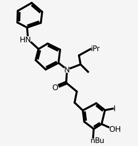 CCCCc1cc(CCC(=O)N(c2ccc(Nc3ccccc3)cc2)C(C)CC(C)C)cc(I)c1O